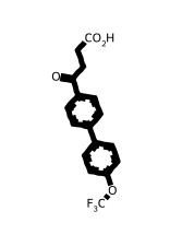 O=C(O)CCC(=O)c1ccc(-c2ccc(OC(F)(F)F)cc2)cc1